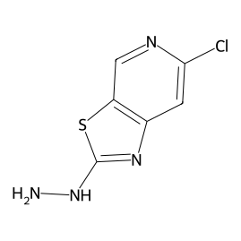 NNc1nc2cc(Cl)ncc2s1